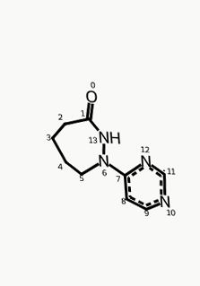 O=C1CCCCN(c2ccn[c]n2)N1